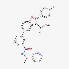 CNC(=O)c1c(-c2ccc(F)cc2)oc2ccc(-c3cccc(C(=O)NC(C)c4cccnc4)c3)cc12